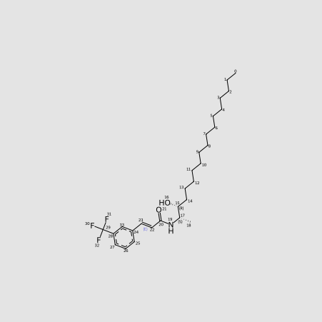 CCCCCCCCCCCCCCC[C@@H](O)[C@H](C)NC(=O)/C=C/c1cccc(C(F)(F)F)c1